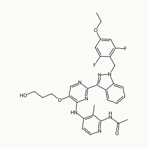 CCOc1cc(F)c(Cn2nc(-c3ncc(OCCCO)c(Nc4ccnc(NC(C)=O)c4C)n3)c3ccccc32)c(F)c1